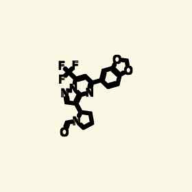 O=CN1CCCC1c1cnn2c(C(F)(F)F)cc(-c3ccc4c(c3)OCO4)nc12